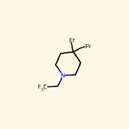 CCC1(C(C)C)CCN(CC(F)(F)F)CC1